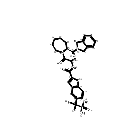 CC(C)(C)C(NC(=O)c1cc2cc(C(F)(F)P(=O)(O)O)ccc2s1)C(=O)N1CCCCC[C@H]1C(=O)N1Cc2ccccc2C1